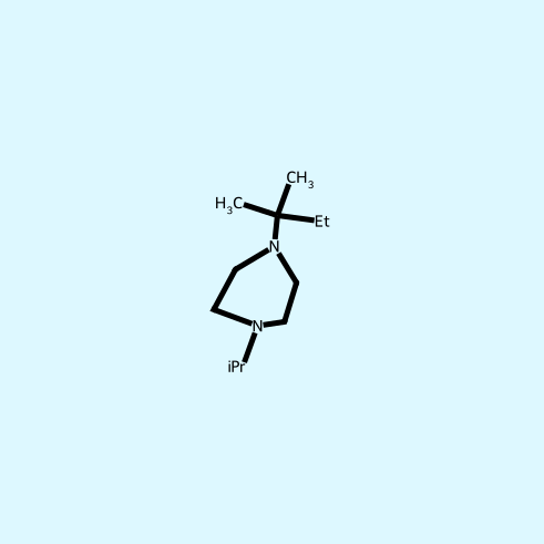 CCC(C)(C)N1CCN(C(C)C)CC1